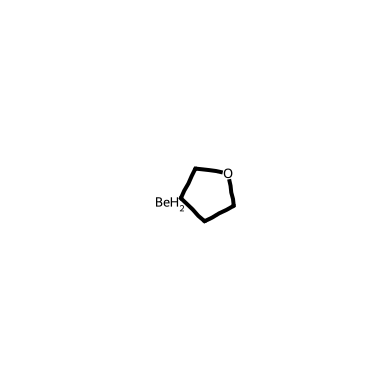 C1CCOC1.[BeH2]